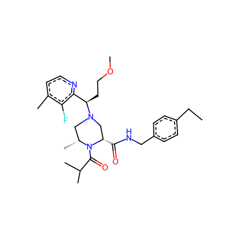 CCc1ccc(CNC(=O)[C@H]2CN([C@H](CCOC)c3nccc(C)c3F)C[C@@H](C)N2C(=O)C(C)C)cc1